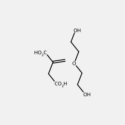 C=C(CC(=O)O)C(=O)O.OCCOCCO